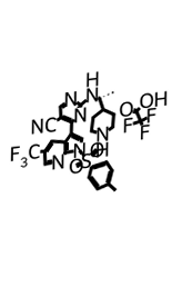 Cc1ccc(S(=O)(=O)n2cc(-c3nc(N[C@H](C)C4CCNCC4)ncc3C#N)c3cc(C(F)(F)F)cnc32)cc1.O=C(O)C(F)(F)F